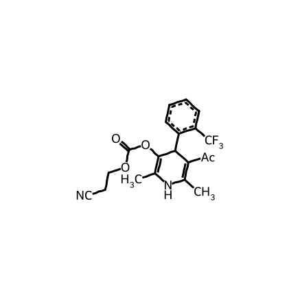 CC(=O)C1=C(C)NC(C)=C(OC(=O)OCCC#N)C1c1ccccc1C(F)(F)F